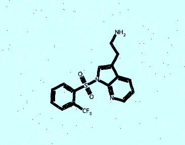 NCCc1cn(S(=O)(=O)c2ccccc2C(F)(F)F)c2ncccc12